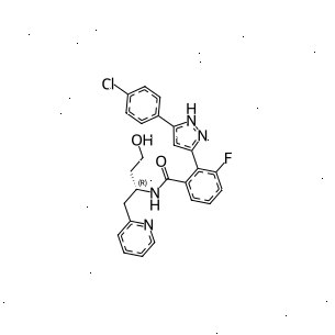 O=C(N[C@@H](CCO)Cc1ccccn1)c1cccc(F)c1-c1cc(-c2ccc(Cl)cc2)[nH]n1